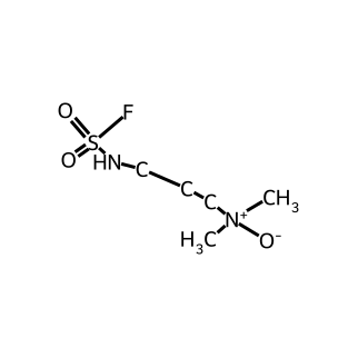 C[N+](C)([O-])CCCNS(=O)(=O)F